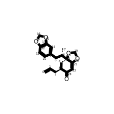 C=CC[C@H]1C[C@]2([C@@H](C)Cc3ccc4c(c3)OCO4)OCOC2=CC1=O